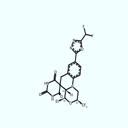 CC[C@@H]1O[C@H](C(F)(F)F)CN2c3ccc(-c4nnc(C(F)F)o4)cc3CC3(C(=O)NC(=O)NC3=O)[C@@H]12